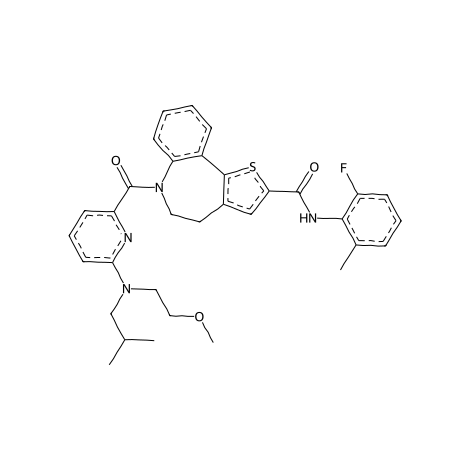 COCCN(CC(C)C)c1cccc(C(=O)N2CCc3cc(C(=O)Nc4c(C)cccc4F)sc3-c3ccccc32)n1